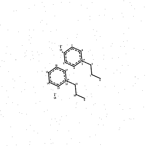 CCC[n+]1ccccc1.CCC[n+]1ccccc1.[I-].[I-]